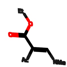 CCOC(=O)C(=CNC)C(C)=O